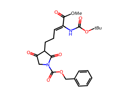 COC(=O)/C(=C/CCC1C(=O)CN(C(=O)OCc2ccccc2)C1=O)NC(=O)OC(C)(C)C